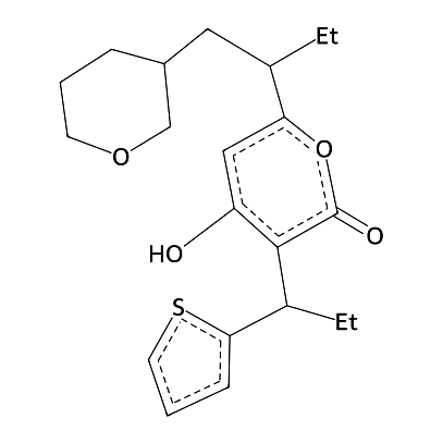 CCC(CC1CCCOC1)c1cc(O)c(C(CC)c2cccs2)c(=O)o1